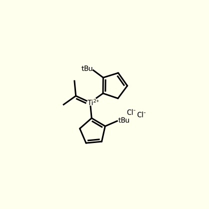 C[C](C)=[Ti+2]([C]1=C(C(C)(C)C)C=CC1)[C]1=C(C(C)(C)C)C=CC1.[Cl-].[Cl-]